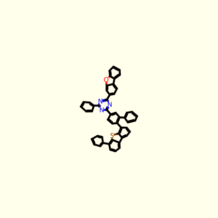 c1ccc(-c2nc(-c3ccc(-c4cccc5c4sc4c(-c6ccccc6)cccc45)c(-c4ccccc4)c3)nc(-c3ccc4c(c3)oc3ccccc34)n2)cc1